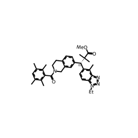 CCn1nnc2c(C)c([C@H](c3ccc4c(c3)CN(C(=O)c3c(C)c(C)cc(C)c3C)CC4)C(C)(C)C(=O)OC)ccc21